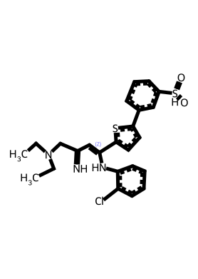 CCN(CC)CC(=N)/C=C(\Nc1ccccc1Cl)c1ccc(-c2cccc([SH](=O)=O)c2)s1